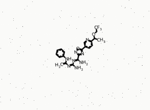 C=C(/N=C(N)\N=C(/N)c1noc(-c2ccc(C(C)OCC(F)(F)F)nc2)n1)Nc1ccccc1